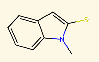 Cn1c([S])cc2ccccc21